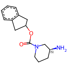 N[C@H]1CCCN(C(=O)OC2Cc3ccccc3C2)C1